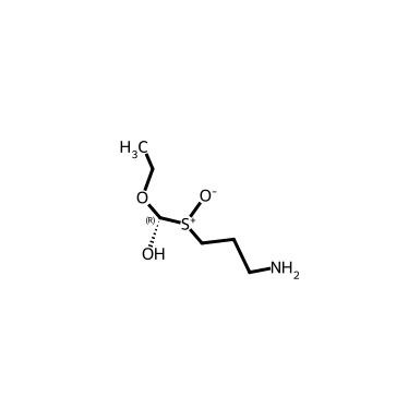 CCO[C@@H](O)[S+]([O-])CCCN